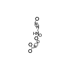 O=C(NCCCN1CCN(Cc2ccccc2)CC1)c1cccc(OC2CCN(CC(c3ccccc3)c3ccccc3)CC2)c1